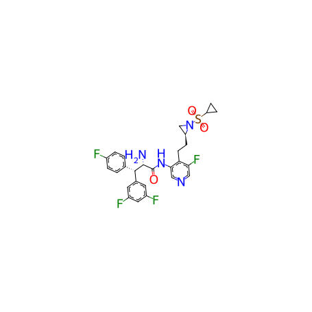 N[C@H](C(=O)Nc1cncc(F)c1CC[C@H]1CN1S(=O)(=O)C1CC1)[C@@H](c1ccc(F)cc1)c1cc(F)cc(F)c1